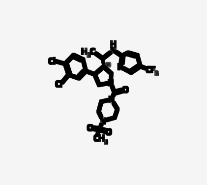 CC(Nc1ccc(C(F)(F)F)cn1)[C@H]1CN(C(=O)N2CCN(S(C)(=O)=O)CC2)CC1c1ccc(Cl)c(Cl)c1